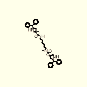 O=C(NCCCCCCNC(=O)O[C@H]1CN[C@@H](C(c2ccccc2)c2ccccc2)C1)O[C@H]1CN[C@@H](C(c2ccccc2)c2ccccc2)C1